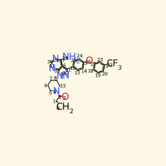 C=CC(=O)N1CCC[C@H](n2nc(-c3ccc(Oc4cccc(C(F)(F)F)c4)cc3)c3c(N)ncnc32)C1